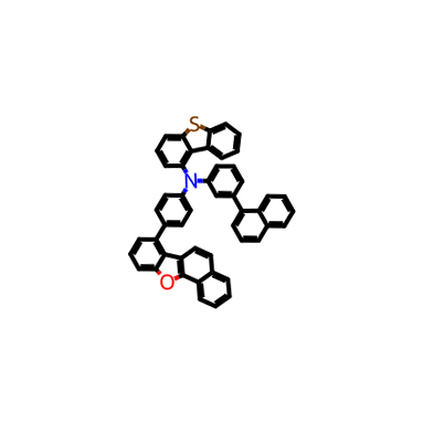 c1cc(-c2cccc3ccccc23)cc(N(c2ccc(-c3cccc4oc5c6ccccc6ccc5c34)cc2)c2cccc3sc4ccccc4c23)c1